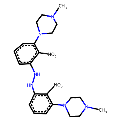 CN1CCN(c2cccc(NNc3cccc(N4CCN(C)CC4)c3[N+](=O)[O-])c2[N+](=O)[O-])CC1